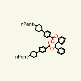 CCCCCC1CCC(c2ccc(C(=O)O[C@H](c3ccccc3)[C@H](OC(=O)c3ccc(C4CCC(CCCCC)CC4)cc3)c3ccccc3)cc2)CC1